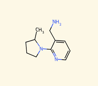 CC1CCCN1c1ncccc1CN